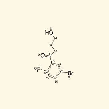 O=C(CCCO)c1cc(Br)ccc1F